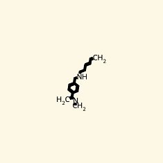 C=CC=CCCNCc1ccc(C(=C)N=C)cc1